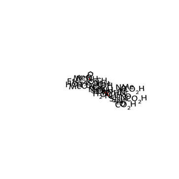 CC[C@]1(O)C[C@H]2CN(CCc3c([nH]c4ccccc34)[C@@](C(=O)OC)(c3cc4c(cc3OC)N(C)[C@H]3[C@@](O)(C(=O)NNC(=O)OCCSSC[C@@H](NC(=O)[C@H](CC(=O)O)NC(=O)[C@H](CC(=O)O)NC(=O)[C@H](CCCNC(=N)N)NC)C(=O)O)[C@H](O)[C@]5(CC)C=CCN6CC[C@]43[C@@H]65)C2)C1